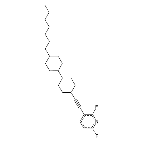 CCCCCCCC1CCC(C2CCC(C#Cc3ccc(F)nc3F)CC2)CC1